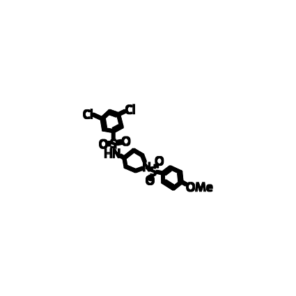 COc1ccc(S(=O)(=O)N2CCC(NS(=O)(=O)c3cc(Cl)cc(Cl)c3)CC2)cc1